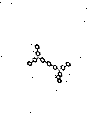 CC1(C)c2ccccc2-c2ccc(N(c3ccc(-c4ccccc4)cc3)c3ccc(-c4ccc(-c5ccc(N(c6ccc(-c7ccccc7)cc6)c6ccc(-c7ccccc7)cc6)cc5)cc4)cc3)cc21